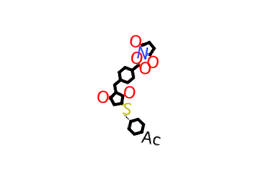 CC(=O)[C@H]1CC[C@H](CSC2CC(=O)C(CC3CCC(C(=O)ON4C(=O)CCC4=O)CC3)C2=O)CC1